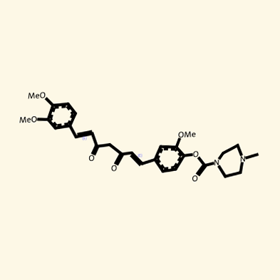 COc1ccc(/C=C/C(=O)CC(=O)/C=C/c2ccc(OC(=O)N3CCN(C)CC3)c(OC)c2)cc1OC